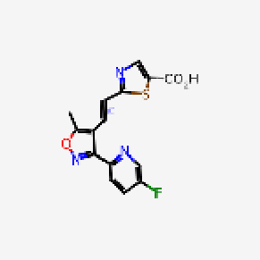 Cc1onc(-c2ccc(F)cn2)c1/C=C/c1ncc(C(=O)O)s1